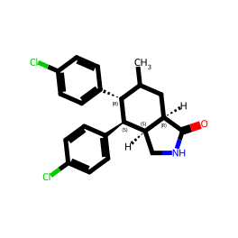 CC1C[C@H]2C(=O)NC[C@H]2[C@@H](c2ccc(Cl)cc2)[C@@H]1c1ccc(Cl)cc1